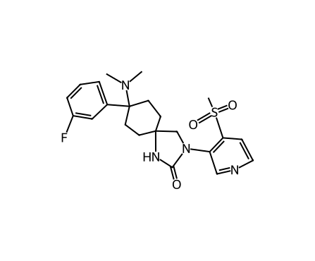 CN(C)C1(c2cccc(F)c2)CCC2(CC1)CN(c1cnccc1S(C)(=O)=O)C(=O)N2